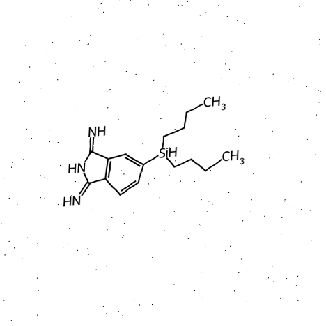 CCCC[SiH](CCCC)c1ccc2c(c1)C(=N)NC2=N